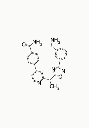 CC(c1cc(-c2ccc(C(N)=O)cc2)ccn1)c1nc(-c2cccc(CN)c2)no1